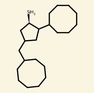 [SiH3][C@@H]1CC(CC2CCCCCCC2)CC1C1CCCCCCC1